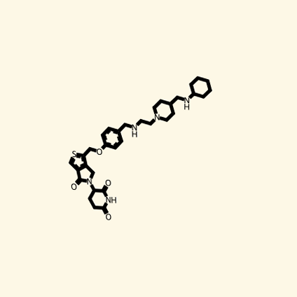 O=C1CCC(N2Cc3c(csc3COc3ccc(CNCCN4CCC(CNC5CCCCC5)CC4)cc3)C2=O)C(=O)N1